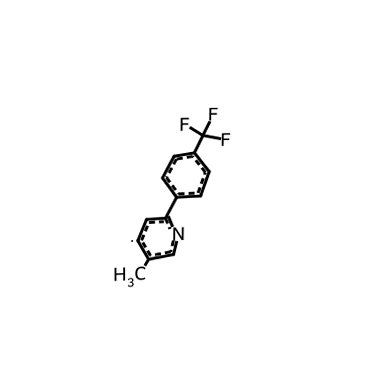 Cc1[c]cc(-c2ccc(C(F)(F)F)cc2)nc1